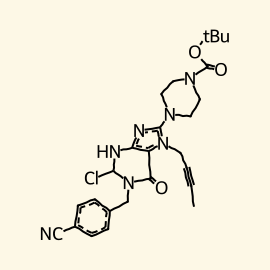 CC#CCn1c(N2CCN(C(=O)OC(C)(C)C)CC2)nc2c1C(=O)N(Cc1ccc(C#N)cc1)C(Cl)N2